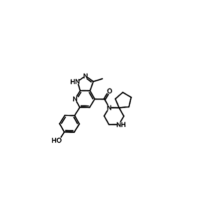 Cc1n[nH]c2nc(-c3ccc(O)cc3)cc(C(=O)N3CCNCC34CCCC4)c12